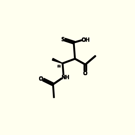 CC(=O)N[C@@H](C)C(C(C)=O)C(O)=S